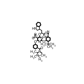 CCN(C(=O)c1cccc(Oc2nc(Oc3cc(C#N)ccc3C(C)(C)C)nc(OC(CC3CNc4ccccc43)C(=O)O)c2[N+](=O)[O-])c1)C(C)N(C)C